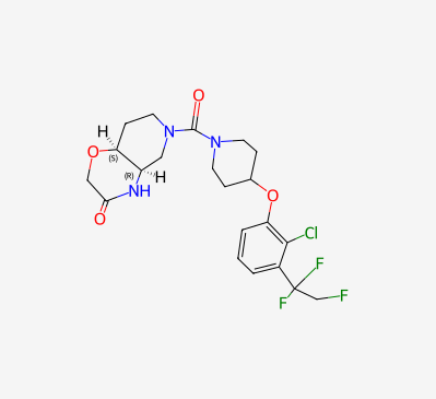 O=C1CO[C@H]2CCN(C(=O)N3CCC(Oc4cccc(C(F)(F)CF)c4Cl)CC3)C[C@H]2N1